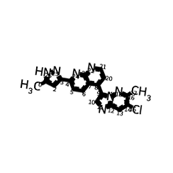 Cc1cc(-c2ccc3c(-c4cnc5cc(Cl)c(C)nn45)ccnc3n2)n[nH]1